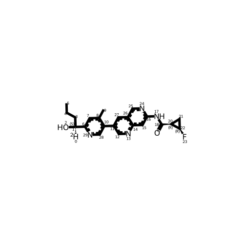 [2H][C@](O)(CCC)c1cc(C)c(-c2cnc3cc(NC(=O)[C@H]4C[C@H]4F)ncc3c2)cn1